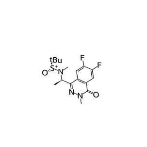 C[C@H](c1nn(C)c(=O)c2cc(F)c(F)cc12)N(C)[S@@+]([O-])C(C)(C)C